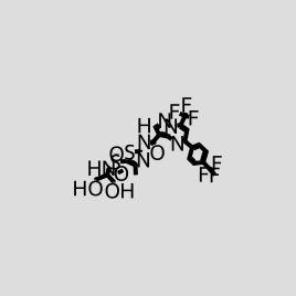 Cc1nc(NC(=O)c2cnn3c(C(F)(F)F)cc(-c4ccc(C(F)(F)F)cc4)nc23)sc1S(=O)(=O)NC(CO)CO